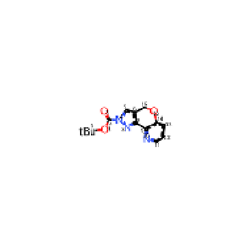 CC(C)(C)OC(=O)n1cc2c(n1)-c1ncccc1OC2